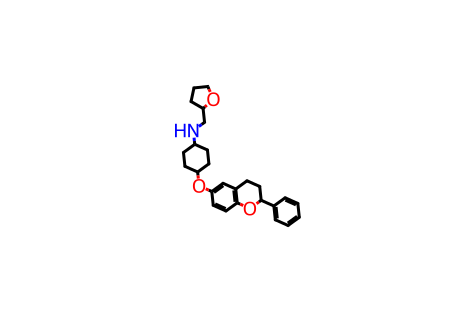 c1ccc(C2CCc3cc(OC4CCC(NCC5CCCO5)CC4)ccc3O2)cc1